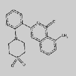 Cc1cccc2nc(-c3cccnc3N3CCS(=O)(=O)CC3)oc(=O)c12